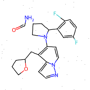 Fc1ccc(F)c(C2CCCN2c2ccn3nccc3c2CC2CCCO2)c1.NC=O